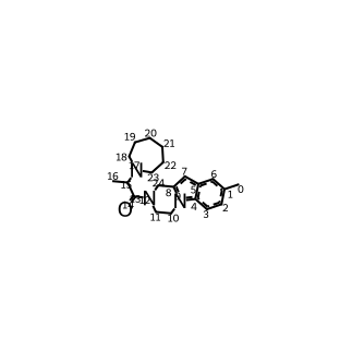 Cc1ccc2c(c1)cc1n2CCN(C(=O)C(C)N2CCCCCC2)C1